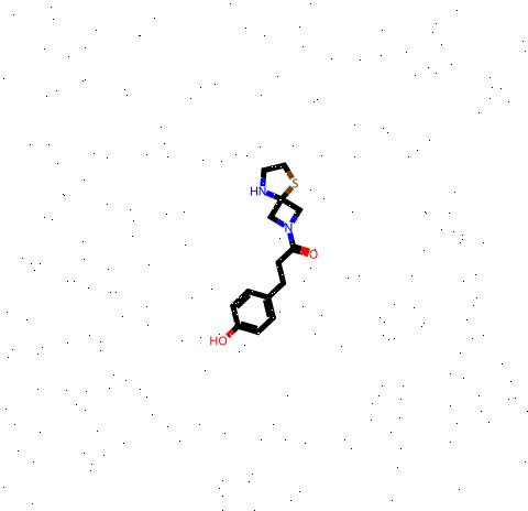 O=C(CCc1ccc(O)cc1)N1CC2(C1)NCCS2